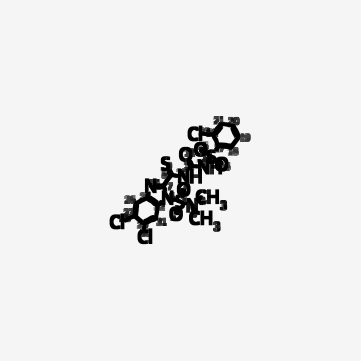 CN(C)S(=O)(=O)n1c(C(=S)NC(=O)NS(=O)(=O)c2ccccc2Cl)nc2cc(Cl)c(Cl)cc21